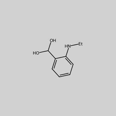 CCNc1ccccc1C(O)O